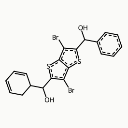 OC(c1ccccc1)c1sc2c(Br)c(C(O)C3C=CC=CC3)sc2c1Br